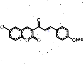 COc1ccc(/C=C/C(=O)c2cc3cc(Cl)ccc3oc2=O)cc1